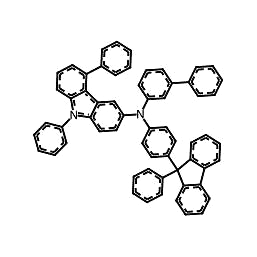 c1ccc(-c2cccc(N(c3ccc(C4(c5ccccc5)c5ccccc5-c5ccccc54)cc3)c3ccc4c(c3)c3c(-c5ccccc5)cccc3n4-c3ccccc3)c2)cc1